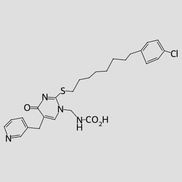 O=C(O)NCn1cc(Cc2cccnc2)c(=O)nc1SCCCCCCCCc1ccc(Cl)cc1